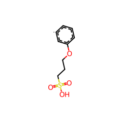 O=S(=O)(O)CCCOc1c[c]ccc1